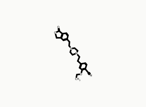 CCOc1cc(CCN2CCN(CCc3ccc4c(c3)COC4=O)CC2)ccc1C#N